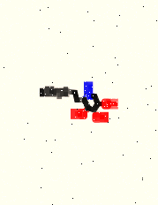 CCCCCCCCC[C@H]1NC[C@@H](O)[C@H](O)[C@H]1O